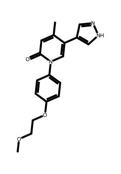 COCCOc1ccc(-n2cc(-c3cn[nH]c3)c(C)cc2=O)cc1